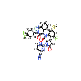 CSc1cc(F)cc(N(C(=O)[C@@H]2CCC(=O)N2c2nccc(C#N)n2)C(C(=O)NC2CCC(F)(F)CC2)c2ccccc2Cl)c1